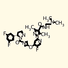 Cc1nn(-c2cc(OC3CN(C(=O)N4N=CC[C@H]4c4cc(F)cc(F)c4)C3)c(F)cn2)c(C)c1C(=O)NCCN(C)C